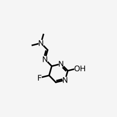 CN(C)/C=N/C1N=C(O)N=CC1F